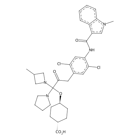 CC1CN(C(O[C@H]2CC[C@H](C(=O)O)CC2)(C(=O)Cc2cc(Cl)c(NC(=O)c3cn(C)c4ccccc34)cc2Cl)N2CCCC2)C1